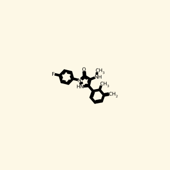 C=C1C=CC=C(c2[nH]n(-c3ccc(F)cc3)c(=O)c2NC)C1C